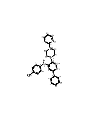 Clc1ccc(Nc2cc(-c3ccccc3)nnc2N2CCN(c3ncccn3)CC2)cc1